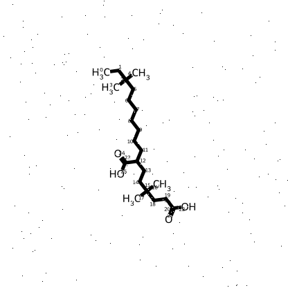 CCC(C)(C)CCCCCCCC(CCC(C)(C)CCC(=O)O)C(=O)O